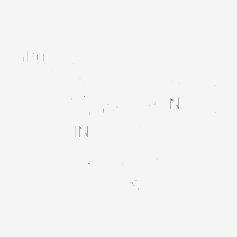 CCCCc1ccc(C(=O)Nc2ccc3scc(C4CCC5CCCCN5CC4)c3c2)cc1